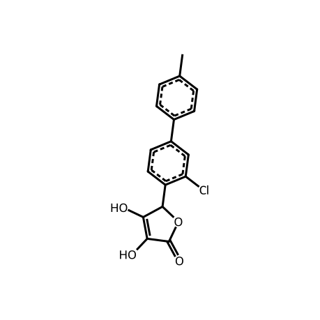 Cc1ccc(-c2ccc(C3OC(=O)C(O)=C3O)c(Cl)c2)cc1